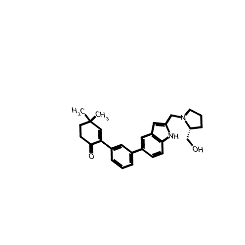 CC1(C)C=C(c2cccc(-c3ccc4[nH]c(CN5CCC[C@@H]5CO)cc4c3)c2)C(=O)CC1